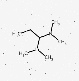 CC[CH](N(C)C)[In]([CH3])[CH3]